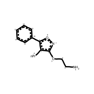 CCCc1c(OCCN)noc1-c1ccccc1